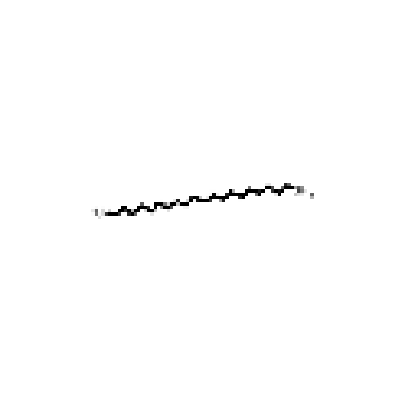 NCCCCCCCCCCCCCCCCCCCC[SiH3]